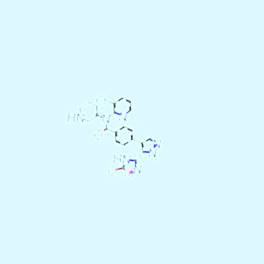 Cn1ncc(-c2ccc(C(=O)N(c3ncccc3Cl)[C@@H]3CCCNC3)cc2)c1-c1noc(=O)[nH]1